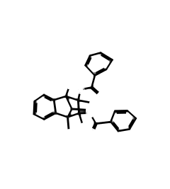 CC1C2(C)c3ccccc3C1(C)C(C)(OC(=O)c1ccccc1)C2(C)OC(=O)c1ccccc1